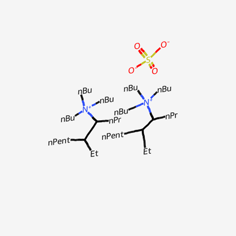 CCCCCC(CC)C(CCC)[N+](CCCC)(CCCC)CCCC.CCCCCC(CC)C(CCC)[N+](CCCC)(CCCC)CCCC.O=S(=O)([O-])[O-]